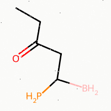 BC(P)CC(=O)CC